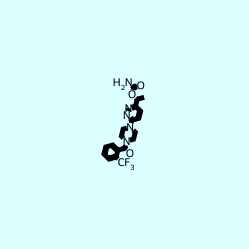 CC(OC(N)=O)c1ccc(N2CCN(C(=O)c3ccccc3C(F)(F)F)CC2)nn1